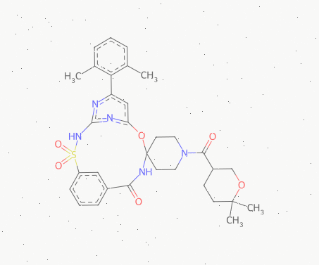 Cc1cccc(C)c1-c1cc2nc(n1)NS(=O)(=O)c1cccc(c1)C(=O)NC1(CCN(C(=O)C3CCC(C)(C)OC3)CC1)O2